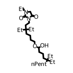 CCCCCC(CC)(CC)CCCC(O)OCCCCC(CC)(CC)CCN1C(=O)CN(CC)C1=O